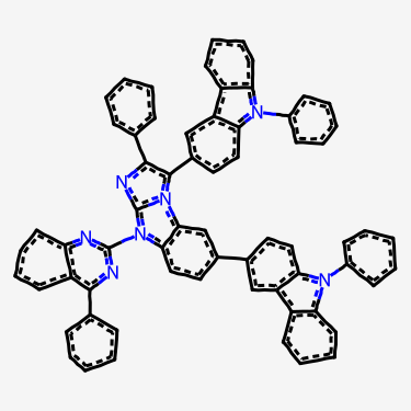 c1ccc(-c2nc3n(-c4nc(-c5ccccc5)c5ccccc5n4)c4ccc(-c5ccc6c(c5)c5ccccc5n6-c5ccccc5)cc4n3c2-c2ccc3c(c2)c2ccccc2n3-c2ccccc2)cc1